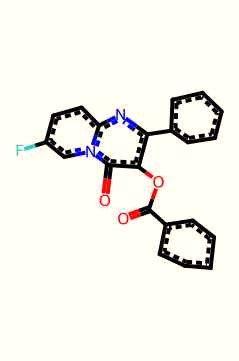 O=C(Oc1c(-c2ccccc2)nc2ccc(F)cn2c1=O)c1ccccc1